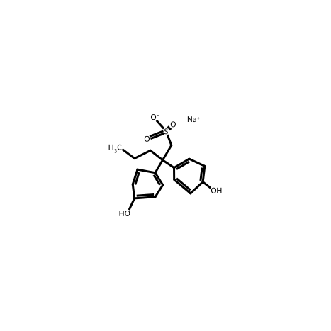 CCCC(CS(=O)(=O)[O-])(c1ccc(O)cc1)c1ccc(O)cc1.[Na+]